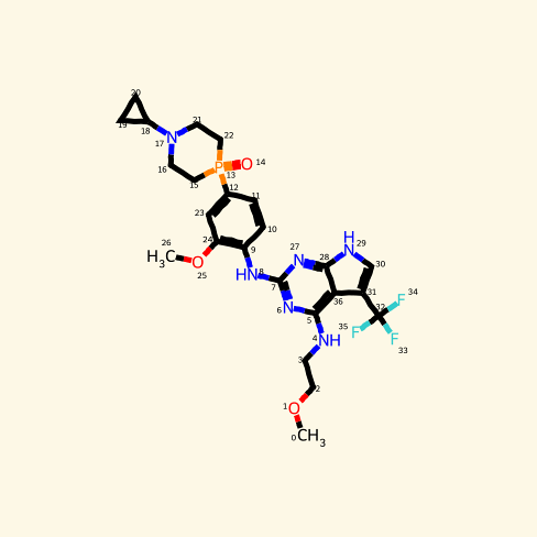 COCCNc1nc(Nc2ccc(P3(=O)CCN(C4CC4)CC3)cc2OC)nc2[nH]cc(C(F)(F)F)c12